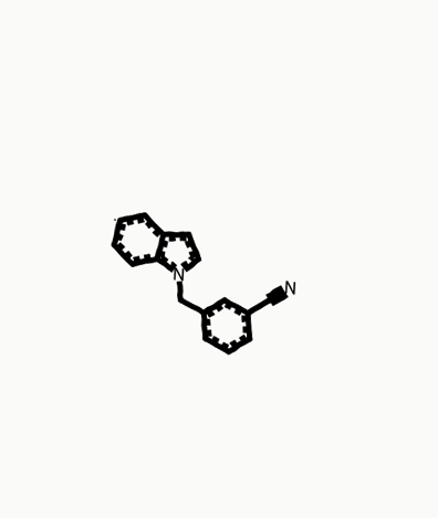 N#Cc1cccc(Cn2ccc3c[c]ccc32)c1